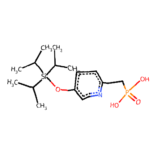 CC(C)[Si](Oc1ccc(CP(=O)(O)O)nc1)(C(C)C)C(C)C